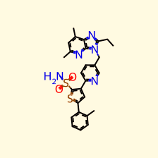 CCc1nc2c(C)cc(C)nc2n1Cc1ccc(-c2cc(-c3ccccc3C)sc2S(N)(=O)=O)nc1